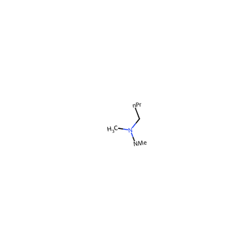 CCCCN(C)NC